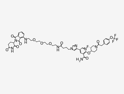 NC(=O)c1cc(-c2cn(CCCC(=O)NCCOCCOCCOCCNc3cccc4c3C(=O)N(C3CCC(=O)NC3=O)C4=O)cn2)cnc1O[C@@H]1CCN(C(=O)Cc2ccc(OC(F)(F)F)cc2)C[C@H]1F